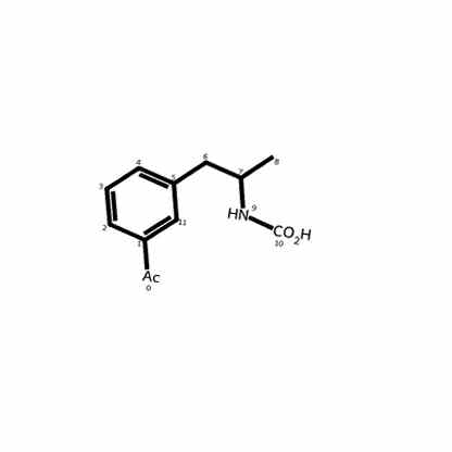 CC(=O)c1cccc(CC(C)NC(=O)O)c1